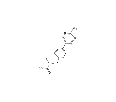 C=C(C)C(F)Cc1ccc(-c2nnc(C)nn2)cc1